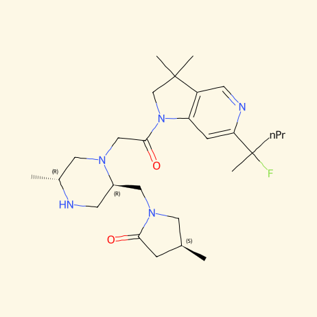 CCCC(C)(F)c1cc2c(cn1)C(C)(C)CN2C(=O)CN1C[C@@H](C)NC[C@@H]1CN1C[C@@H](C)CC1=O